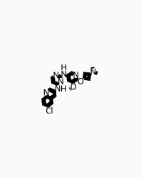 COc1cc(Nc2nccc(Nc3cnc4ccc(Cl)cc4c3)n2)cnc1OC1CC(N(C)C)C1